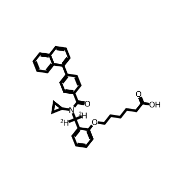 [2H]C([2H])(c1ccccc1OCCCCCC(=O)O)N(C(=O)c1ccc(-c2cccc3ccccc23)cc1)C1CC1